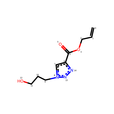 C=CCOC(=O)c1cn(CCCO)nn1